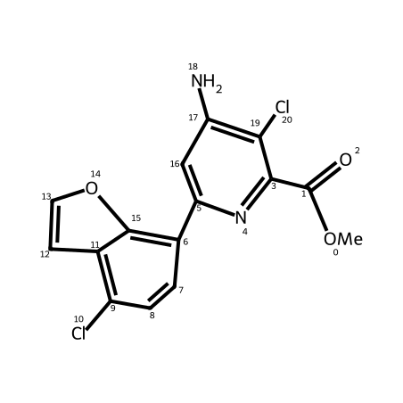 COC(=O)c1nc(-c2ccc(Cl)c3ccoc23)cc(N)c1Cl